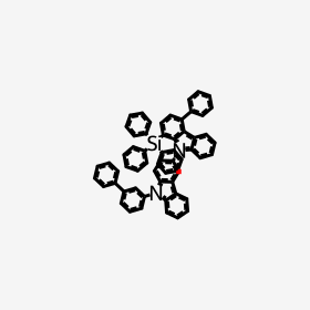 c1ccc(-c2cccc(-n3c4ccccc4c4cc(-n5c6ccccc6c6c(-c7ccccc7)ccc([Si](c7ccccc7)(c7ccccc7)c7ccccc7)c65)ccc43)c2)cc1